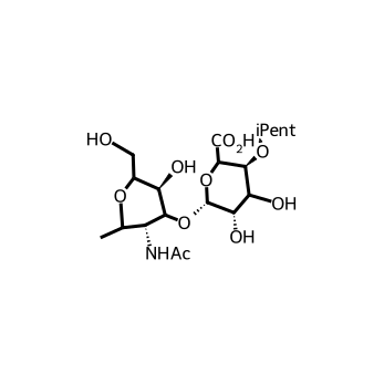 CCC[C@@H](C)O[C@@H]1C(C(=O)O)O[C@@H](OC2[C@H](O)C(CO)OC(C)[C@H]2NC(C)=O)[C@@H](O)C1O